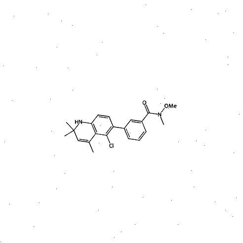 CON(C)C(=O)c1cccc(-c2ccc3c(c2Cl)C(C)=CC(C)(C)N3)c1